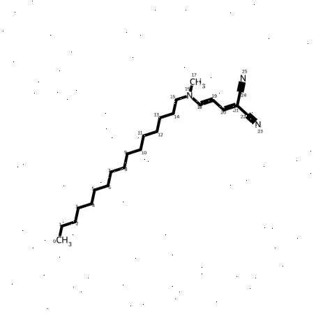 CCCCCCCCCCCCCCCCN(C)C=CC=C(C#N)C#N